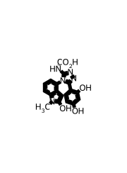 Cn1c(O)cc2c(-n3c(NC(=O)O)nnc3-c3ccc(O)cc3O)cccc21